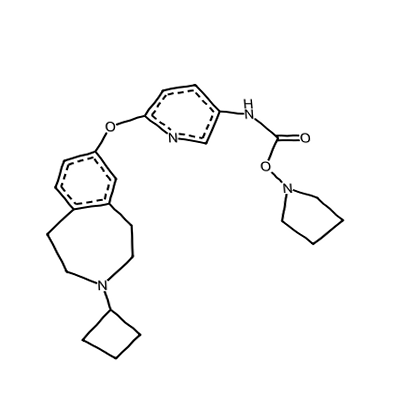 O=C(Nc1ccc(Oc2ccc3c(c2)CCN(C2CCC2)CC3)nc1)ON1CCCC1